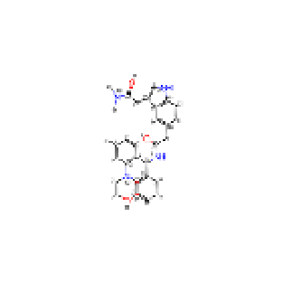 Cc1ccc(C(NC(=O)Cc2ccc3[nH]cc(CC(=O)N(C)C)c3c2)c2ccccc2)c(N2CCOCC2)c1